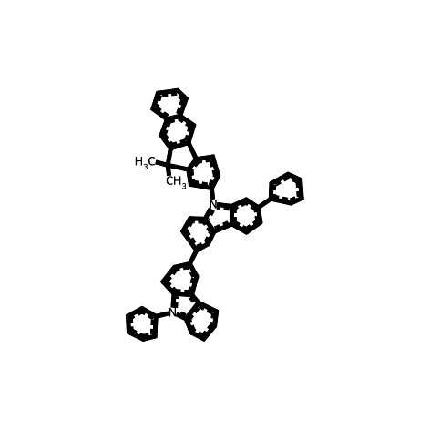 CC1(C)c2cc(-n3c4ccc(-c5ccc6c(c5)c5ccccc5n6-c5ccccc5)cc4c4ccc(-c5ccccc5)cc43)ccc2-c2cc3ccccc3cc21